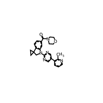 Cc1ncccc1-c1cnc(N2CC3(CC3)c3ccc(C(=O)N4CCOCC4)cc32)nc1